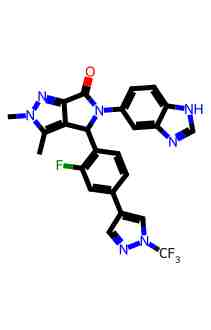 Cc1c2c(nn1C)C(=O)N(c1ccc3[nH]cnc3c1)C2c1ccc(-c2cnn(C(F)(F)F)c2)cc1F